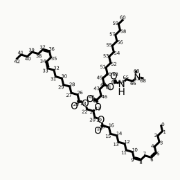 CCCCC/C=C\C/C=C\CCCCCCCC(=O)OCC(COC(=O)CCCCCCC/C=C\C/C=C\CCCCC)OC(=O)CCC(CCCCCCCCCCCC)OC(=O)NCCN(C)C